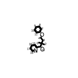 CC(C)(CCOc1ccccc1)C(=O)c1ccccn1